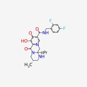 CCCC12Cn3cc(C(=O)NCc4ccc(F)cc4F)c(=O)c(O)c3C(=O)N1C[C@@H](C)CN2